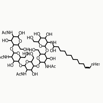 CCCCCC/C=C\CCCCCCCCCC(O)NC1C(OC2C(CO)OC(OC3C(CO)OC(OC4C(CO)OC(OC5C(CO)OC(O)C(NC(C)=O)C5O)C(NC(C)=O)C4O)C(NC(C)=O)C3O)C(NC(C)=O)C2O)OC(CO)C(O)C1O